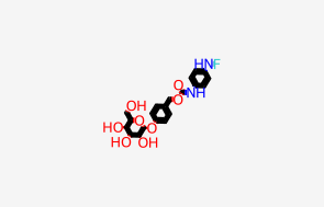 O=C(Nc1ccc(NF)cc1)OCc1ccc(O[C@@H]2OC(CO)[C@H](O)C(O)[C@@H]2O)cc1